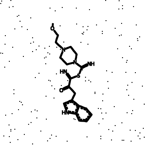 COCCN1CCN(C(=N)SC(=N)C(=O)Cc2c[nH]c3ccccc23)CC1